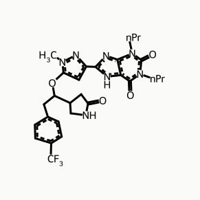 CCCn1c(=O)c2[nH]c(-c3cc(OC(Cc4ccc(C(F)(F)F)cc4)C4CNC(=O)C4)n(C)n3)nc2n(CCC)c1=O